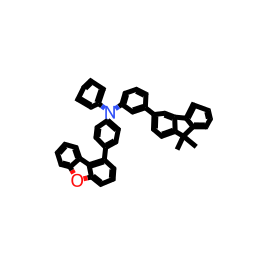 CC1(C)c2ccccc2-c2cc(-c3cccc(N(c4ccccc4)c4ccc(-c5cccc6oc7ccccc7c56)cc4)c3)ccc21